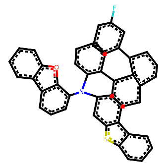 Fc1cccc(-c2cccc3cccc(-c4ccccc4N(c4ccc5c(c4)sc4ccccc45)c4cccc5c4oc4ccccc45)c23)c1